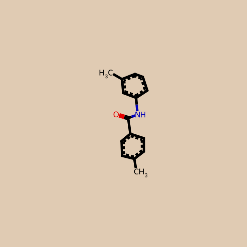 Cc1ccc(C(=O)Nc2cccc(C)c2)cc1